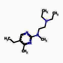 CCc1cnc(N(C)CCN(CC)CC)nc1C